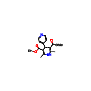 COC(=O)C1=C(C)NC(C)=C(C(=O)OC(C)C)C1c1ccncc1